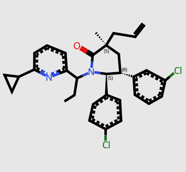 C=CC[C@@]1(C)C[C@H](c2cccc(Cl)c2)[C@@H](c2ccc(Cl)cc2)N(C(CC)c2cccc(C3CC3)n2)C1=O